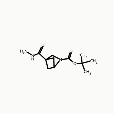 CC(C)(C)OC(=O)N1CC2(C(=O)NN)CC1C2